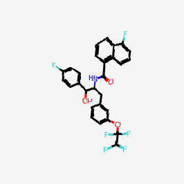 O=C(NC(Cc1cccc(OC(F)(F)C(F)F)c1)C(O)c1ccc(F)cc1)c1cccc2c(F)cccc12